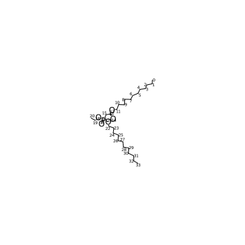 CCCCCCCCCCCCOC(=O)CP(=O)(OCC)OCCCCCCCCCCCC